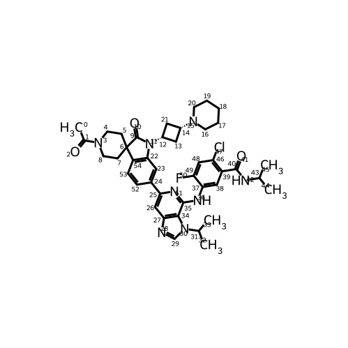 CC(=O)N1CCC2(CC1)C(=O)N([C@H]1C[C@@H](N3CCCCC3)C1)c1cc(-c3cc4ncn(C(C)C)c4c(Nc4cc(C(=O)NC(C)C)c(Cl)cc4F)n3)ccc12